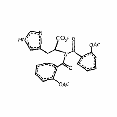 CC(=O)Oc1ccccc1C(=O)N(C(=O)c1ccccc1OC(C)=O)C(Cc1c[nH]cn1)C(=O)O